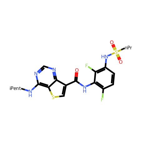 CCCC(C)Nc1ncnc2c(C(=O)Nc3c(F)ccc(NS(=O)(=O)CCC)c3F)csc12